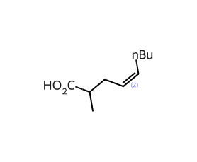 CCCC/C=C\CC(C)C(=O)O